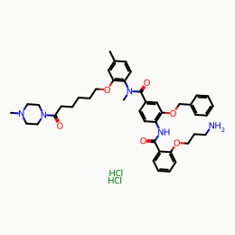 Cc1ccc(N(C)C(=O)c2ccc(NC(=O)c3ccccc3OCCCN)c(OCc3ccccc3)c2)c(OCCCCCC(=O)N2CCN(C)CC2)c1.Cl.Cl